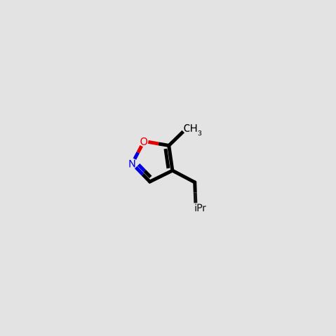 Cc1oncc1CC(C)C